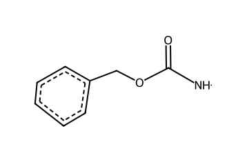 [NH]C(=O)OCc1ccccc1